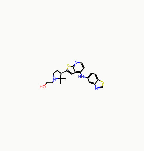 CC1(C)[C@H](c2cc3c(Nc4ccc5scnc5c4)ccnc3s2)CCN1CCO